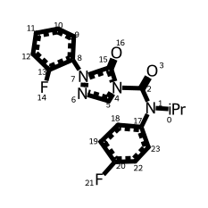 CC(C)N(C(=O)n1cnn(-c2ccccc2F)c1=O)c1ccc(F)cc1